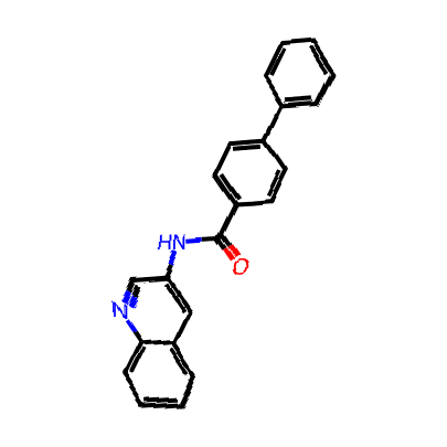 O=C(Nc1cnc2ccccc2c1)c1ccc(-c2ccccc2)cc1